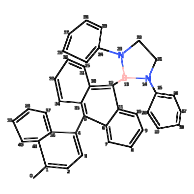 Cc1ccc(-c2c3ccccc3c(B3N(c4ccccc4)CCN3c3ccccc3)c3ccccc23)c2ccccc12